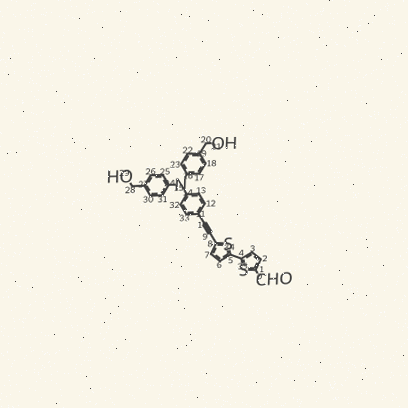 O=Cc1ccc(-c2ccc(C#Cc3ccc(N(c4ccc(CO)cc4)c4ccc(CO)cc4)cc3)s2)s1